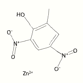 Cc1cc([N+](=O)[O-])cc([N+](=O)[O-])c1O.[Zn+2]